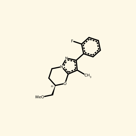 COC[C@H]1CCn2nc(-c3ccccc3F)c(C)c2O1